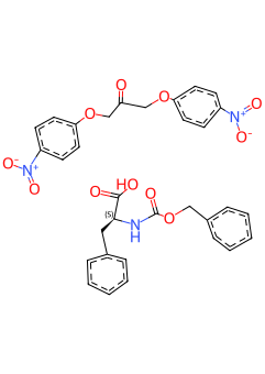 O=C(COc1ccc([N+](=O)[O-])cc1)COc1ccc([N+](=O)[O-])cc1.O=C(N[C@@H](Cc1ccccc1)C(=O)O)OCc1ccccc1